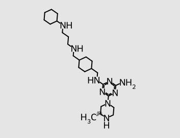 C[C@@H]1CN(c2nc(N)nc(NCC3CCC(CNCCCNC4CCCCC4)CC3)n2)CCN1